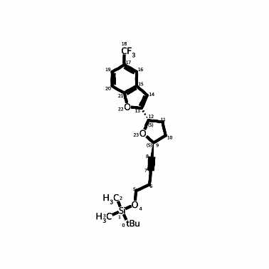 CC(C)(C)[Si](C)(C)OCCC#C[C@@H]1CC[C@@H](c2cc3cc(C(F)(F)F)ccc3o2)O1